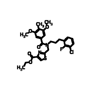 CCOC(=O)c1csc(CN(CCCc2cccc(Cl)c2F)C(=O)c2cc(OC)c(C)c(OC)c2)n1